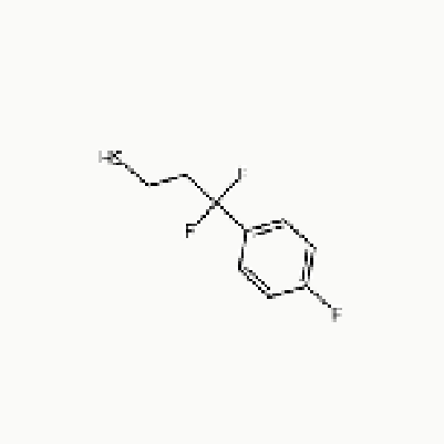 Fc1ccc(C(F)(F)CCS)cc1